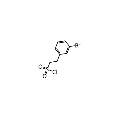 O=S(=O)(Cl)CCc1cccc(Br)c1